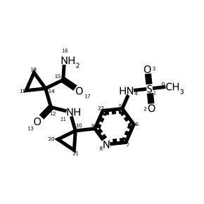 CS(=O)(=O)Nc1ccnc(C2(NC(=O)C3(C(N)=O)CC3)CC2)c1